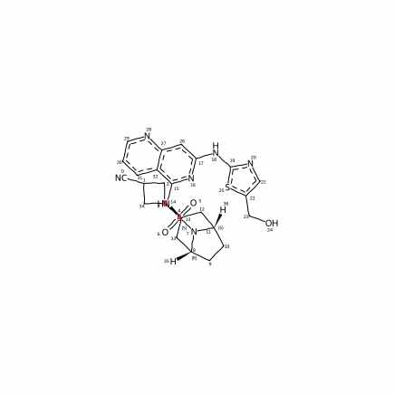 N#CC1CN(S(=O)(=O)N2[C@@H]3CC[C@H]2C[C@H](Nc2nc(Nc4ncc(CO)s4)cc4ncccc24)C3)C1